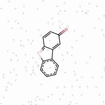 O=C1C=CC2=Bc3ccccc3C2=C1